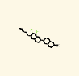 CC=CCCc1cc2ccc(C3CCC4CC(CC)CCC4C3)cc2c(F)c1F